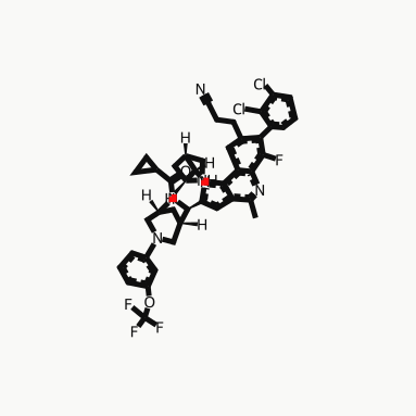 Cc1nc2c(F)c(-c3cccc(Cl)c3Cl)c(CCC#N)cc2c2c1cc([C@H]1[C@H]3C[C@H](CN(c4cccc(OC(F)(F)F)c4)C3)N1C(=O)C1CC1)n2[C@H]1[C@H]2CN[C@@H]1C2